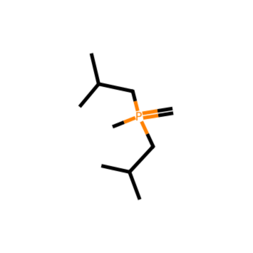 C=P(C)(CC(C)C)CC(C)C